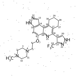 CN1CCN(CCOc2cc3[nH]ncc3c3c4c(c(-c5c[nH]nc5C(F)(F)F)nc23)CCCC4)CC1